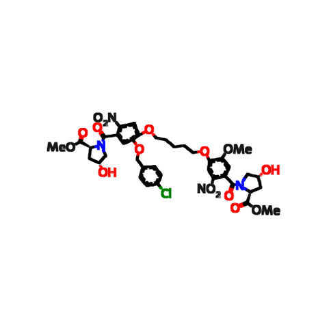 COC(=O)[C@@H]1C[C@@H](O)CN1C(=O)c1cc(OC)c(OCCCCCOc2cc([N+](=O)[O-])c(C(=O)N3C[C@H](O)C[C@H]3C(=O)OC)cc2OCc2ccc(Cl)cc2)cc1[N+](=O)[O-]